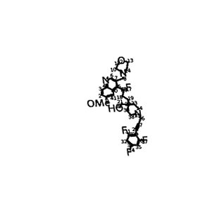 COc1ccc2ncc(CN3CCOCC3)c([C@H](F)CCC3(CO)CCN(CC#Cc4c(F)cc(F)cc4F)CC3)c2c1